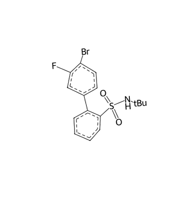 CC(C)(C)NS(=O)(=O)c1ccccc1-c1ccc(Br)c(F)c1